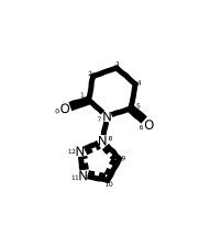 O=C1CCCC(=O)N1n1ccnn1